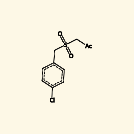 CC(=O)CS(=O)(=O)Cc1ccc(Cl)cc1